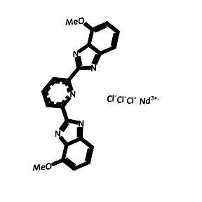 COC1=CC=CC2=NC(c3cccc(C4=NC5C(OC)=CC=CC5=N4)n3)=NC12.[Cl-].[Cl-].[Cl-].[Nd+3]